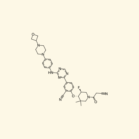 CC1(C)CN(C(=O)CC#N)C[C@H](F)[C@H]1Oc1ccc(-c2ncnc(Nc3ccc(N4CCN(C5COC5)CC4)cc3)n2)cc1C#N